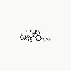 COc1ccc2c(C(=O)O[C@@H]3CN4CCC3CC4)n[nH]c2c1.O=CO